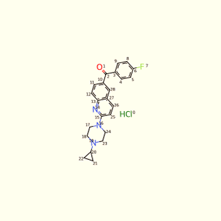 Cl.O=C(c1ccc(F)cc1)c1ccc2nc(N3CCN(C4CC4)CC3)ccc2c1